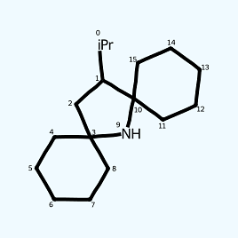 CC(C)C1CC2(CCCCC2)NC12CCCCC2